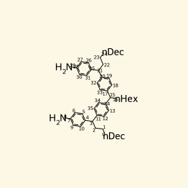 CCCCCCCCCCCCC(c1ccc(N)cc1)c1ccc(C(CCCCCC)c2ccc(C(CCCCCCCCCCCC)c3ccc(N)cc3)cc2)cc1